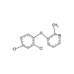 Cc1ncccc1Oc1ccc(Cl)cc1Cl